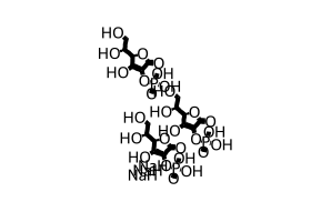 O=C1O[C@H]([C@@H](O)CO)C(O)=C1OP(=O)(O)O.O=C1O[C@H]([C@@H](O)CO)C(O)=C1OP(=O)(O)O.O=C1O[C@H]([C@@H](O)CO)C(O)=C1OP(=O)(O)O.[NaH].[NaH].[NaH]